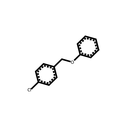 Clc1ccc(COc2c[c]ccc2)cc1